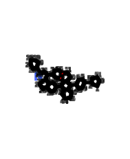 c1ccc(-c2ccc(-c3c4ccccc4c(-c4ccc5ccc6nc(-c7ccccc7)cc(-c7ccccc7)c6c5c4)c4ccccc34)cc2)cc1